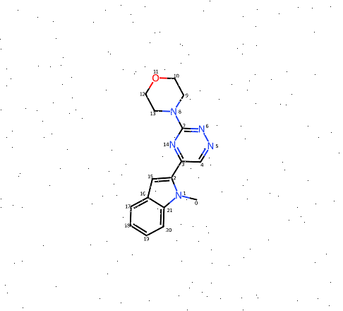 Cn1c(-c2cnnc(N3CCOCC3)n2)cc2ccccc21